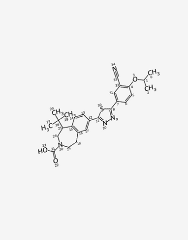 CC(C)Oc1ccc(-c2nnc(-c3ccc4c(c3)CCN(C(=O)O)CC4C(C)(C)C)s2)cc1C#N